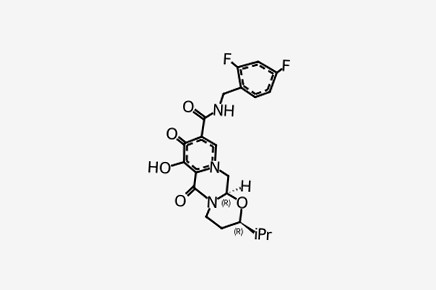 CC(C)[C@H]1CCN2C(=O)c3c(O)c(=O)c(C(=O)NCc4ccc(F)cc4F)cn3C[C@H]2O1